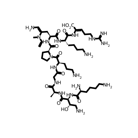 C=CN(C)/C(=C\N)C[C@H](NC(=O)[C@@H]1CCCN1C(=O)[C@@H](CCCN)NC(=O)CNC(=O)[C@H](C)NC(=O)[C@@H](NC(=O)[C@@H](N)CCCCN)[C@@H](O)CN)C(=O)N[C@@H](CCCCN)C(=O)N/C(=C\CCNC(=N)N)C(=O)O